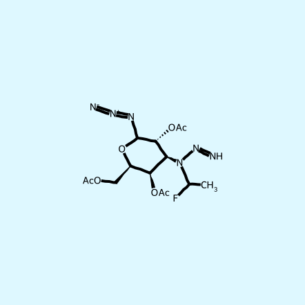 CC(=O)OC[C@H]1OC(N=[N+]=[N-])[C@H](OC(C)=O)[C@@H](N(N=N)C(C)F)[C@H]1OC(C)=O